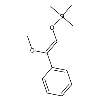 COC(=CO[Si](C)(C)C)c1ccccc1